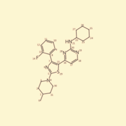 CC1CCN(c2nc(-c3ccccc3F)c(-c3ccnc(NC4CCCCC4)n3)s2)CC1